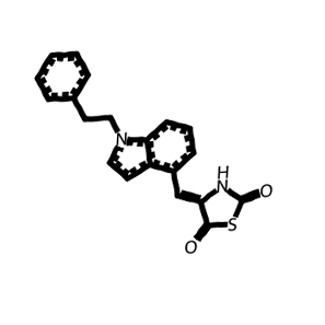 O=C1NC(=Cc2cccc3c2ccn3CCc2ccccc2)C(=O)S1